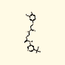 C=C(CCNC(=O)COc1ccc(Cl)c(F)c1)Nc1cncc(C(F)(F)F)c1